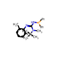 Cc1cccc(C)c1/N=C(/NP(C(C)C)C(C)C)N(C)[Si](C)(C)C